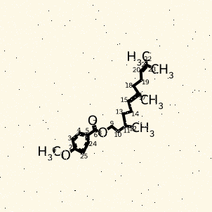 COc1ccc(C(=O)OCCC(C)CC/C=C(\C)CCC=C(C)C)cc1